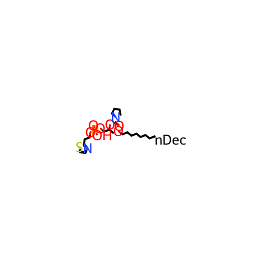 CCCCCCCCCCCCCCCCCCOCC(COP(=O)(O)OCCc1nccs1)OC(=O)N1CCCC1